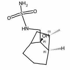 C[C@H]1CC2CCC[C@H]1[C@@]2(O)CNS(N)(=O)=O